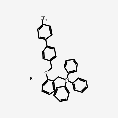 FC(F)(F)c1ccc(-c2ccc(COc3ccccc3C[P+](c3ccccc3)(c3ccccc3)c3ccccc3)cc2)cc1.[Br-]